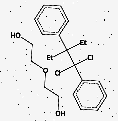 CCC(CC)(c1ccccc1)C(Cl)(Cl)c1ccccc1.OCCOCCO